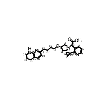 O=C(O)C(c1cccnc1C1CC1)N1CC[C@@H](OCCCCc2ccc3c(n2)NCCC3)C1